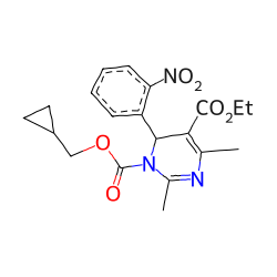 CCOC(=O)C1=C(C)N=C(C)N(C(=O)OCC2CC2)C1c1ccccc1[N+](=O)[O-]